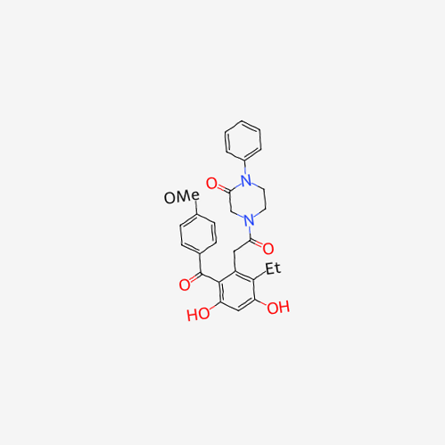 CCc1c(O)cc(O)c(C(=O)c2ccc(OC)cc2)c1CC(=O)N1CCN(c2ccccc2)C(=O)C1